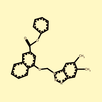 Cc1cc2nnn(COc3cc(C(=O)Oc4ccccc4)cc4ccccc34)c2cc1C